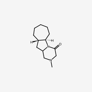 CN1CC(=O)N2C(C[C@@H]3CCCCC[C@H]32)C1